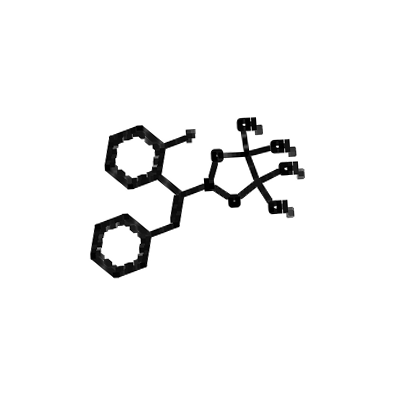 CC1(C)OB(/C(=C/c2ccccc2)c2ccccc2F)OC1(C)C